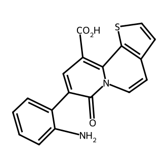 Nc1ccccc1-c1cc(C(=O)O)c2c3sccc3ccn2c1=O